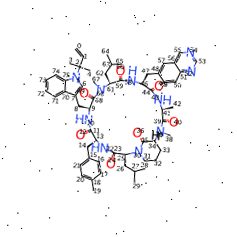 C=CC(C)(C)n1cc(C[C@@H]2NC(=O)[C@H](Cc3ccc(C)cc3)NC(=O)[C@H](CC(C)C)N3CCC[C@@H](C3=O)N(C)C(=O)[C@H](C)NC(=O)[C@H](Cc3ccc4ncncc4c3)NC(=O)[C@H](CC(C)C)N(C)C2=O)c2ccccc21